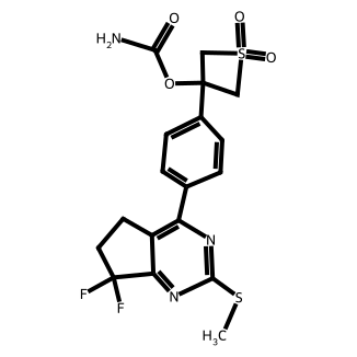 CSc1nc(-c2ccc(C3(OC(N)=O)CS(=O)(=O)C3)cc2)c2c(n1)C(F)(F)CC2